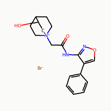 O=C(C[N+]12CCC(CC1)C(O)C2)Nc1nocc1-c1ccccc1.[Br-]